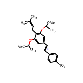 COC(C)Oc1cc(/C=C/c2ccc([N+](=O)[O-])cc2)cc(OC(C)OC)c1CC=C(C)C